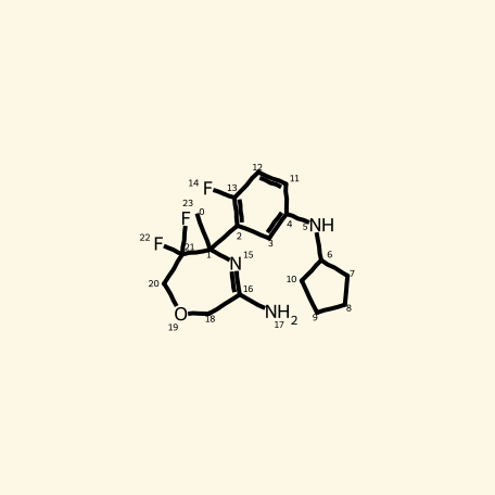 CC1(c2cc(NC3CCCC3)ccc2F)N=C(N)COCC1(F)F